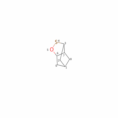 C1C2CC3SOC1C3C2